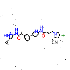 CC(C(=O)Nc1cc(C2CC2)[nH]n1)c1cccc(-c2ccc(NC(=O)/C=C/CN3C[C@@H](F)C[C@@H]3CC#N)nc2)c1